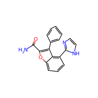 NC(=O)c1oc2cccc(-c3ncc[nH]3)c2c1-c1ccccc1